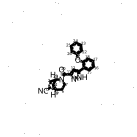 N#CN1C[C@@H]2C[C@@H]1CCN2C(=O)c1cc(-c2ccccc2Oc2ccccc2)[nH]n1